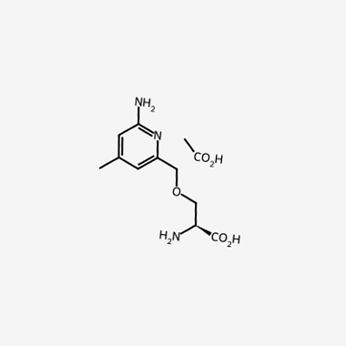 CC(=O)O.Cc1cc(N)nc(COC[C@H](N)C(=O)O)c1